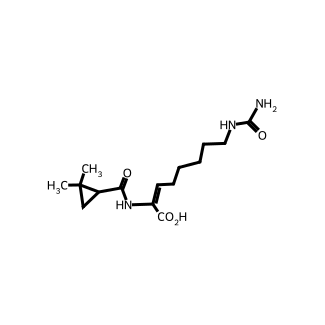 CC1(C)CC1C(=O)NC(=CCCCCCNC(N)=O)C(=O)O